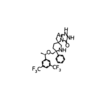 CC(=O)C[C@]1(N2CNNC2=O)CC[C@@](CO[C@H](C)c2cc(C(F)(F)F)cc(C(F)(F)F)c2)(c2ccccc2)NC1